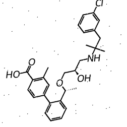 Cc1cc(-c2ccccc2[C@@H](C)OC[C@H](O)CNC(C)(C)Cc2cccc(Cl)c2)ccc1C(=O)O